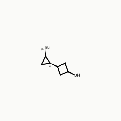 CC[C@H](C)C1C[C@@H]1C1CC(O)C1